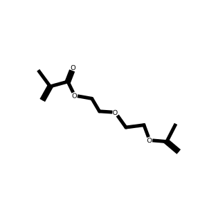 C=C(C)OCCOCCOC(=O)C(=C)C